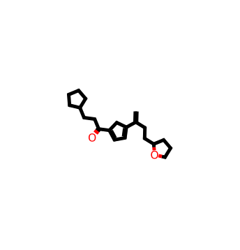 C=C(CCC1CCCO1)C1=CC=C(C(=O)CCC2CCCC2)C1